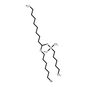 CCCCCCCCCC(OCCCCCCBr)O[Si](C)(C)CCCCCC